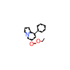 CCOC=O.c1ccc(-c2cccn3cccc23)cc1